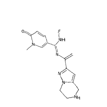 C=C(/N=C(\NF)c1ccc(=O)n(C)c1)c1cc2n(n1)CCNC2